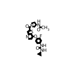 CC(=O)N[C@H]1CCN(C(=O)c2cc3nccc(Oc4ccc(NC(=O)NC5CC5)cc4F)c3s2)C1